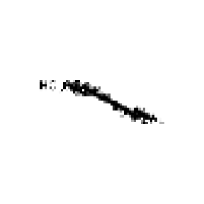 CC(=O)CCC(=O)OC1C=C(C)C(/C=C/C(C)=C/C=C/C(C)=C/C=C/C=C(C)/C=C/C=C(C)/C=C/C2=C(C)CC(OC(=O)CCC(=O)O)CC2(C)C)C(C)(C)C1